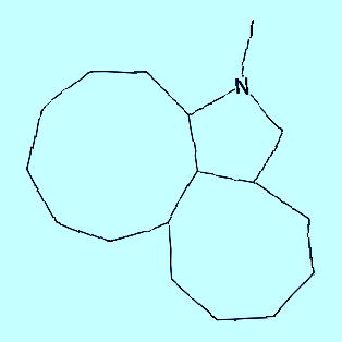 IN1CC2CCCCCC3CCCCCCC1C32